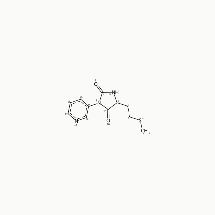 CSCCC1NC(=O)N(c2cccnc2)C1=O